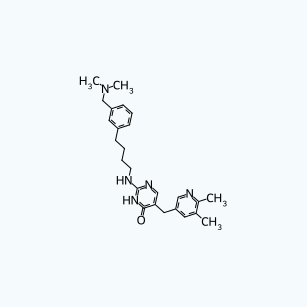 Cc1cc(Cc2cnc(NCCCCc3cccc(CN(C)C)c3)[nH]c2=O)cnc1C